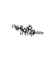 CNc1nccc(-c2cccnc2Oc2ccc(NC(=O)c3ccc(Cl)s3)cc2C)n1